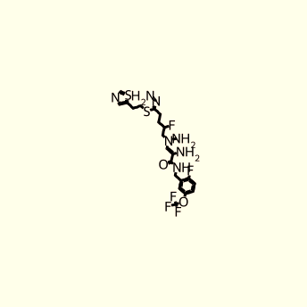 N/N=C(/CCC(F)CN(N)/C=C(\N)C(=O)NCc1cc(OC(F)(F)F)ccc1F)SCCc1cncs1